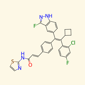 O=C(/C=C/c1ccc(/C(=C(\c2ccc(F)cc2Cl)C2CCC2)c2ccc3[nH]nc(F)c3c2)cc1)Nc1nccs1